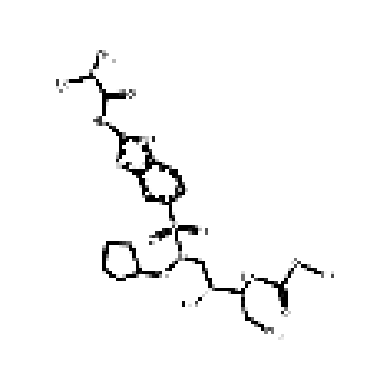 CN(C)C(=O)Nc1nc2cc(S(=O)(=O)N(C[C@@H](O)[C@H](CP)NC(=O)OC(C)(C)C)OC3CCCC3)ccc2[nH]1